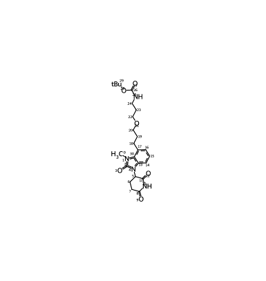 Cn1c(=O)n(C2CCC(=O)NC2=O)c2cccc(CCCOCCCNC(=O)OC(C)(C)C)c21